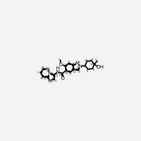 COc1cc2nn(C3CCC(C)(O)CC3)cc2cc1C(=O)Nc1cnc2cccnn12